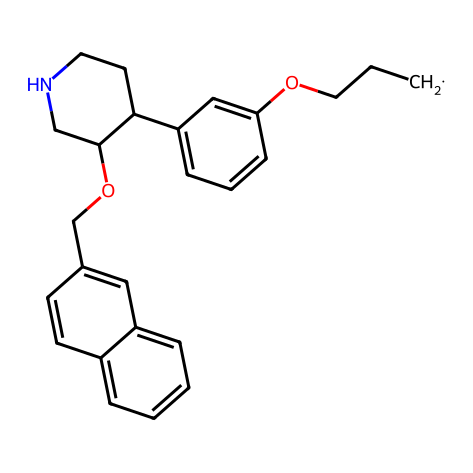 [CH2]CCOc1cccc(C2CCNCC2OCc2ccc3ccccc3c2)c1